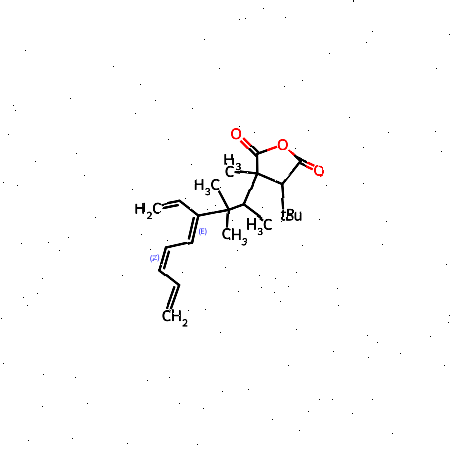 C=C/C=C\C=C(/C=C)C(C)(C)C(C)C1(C)C(=O)OC(=O)C1C(C)(C)C